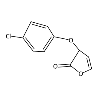 O=C1OC=CC1Oc1ccc(Cl)cc1